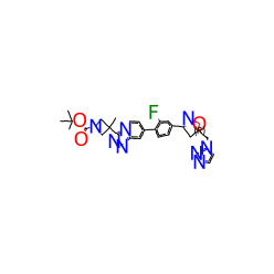 CC(C)(C)OC(=O)N1CC(C)(c2nnc3cc(-c4ccc(C5=NO[C@@H](Cn6ccnn6)C5)cc4F)ccn23)C1